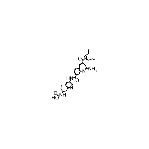 CCCN(CCC)C(=O)C1=Cc2ccc(C(=O)Nc3cnc4c(c3)CCC(NC(=O)O)C4)cc2N=C(N)C1